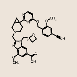 C#Cc1ccc(COc2ccnc(C34CCN(Cc5nc6c(OC)cc(C(=O)O)cc6n5C[C@@H]5CCO5)CC3C4)n2)c(OC)c1